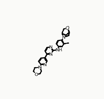 Cc1cc(Nc2nccc(-c3ccc(N4CCOCC4)nc3)n2)ccc1N1CC2CC1CO2